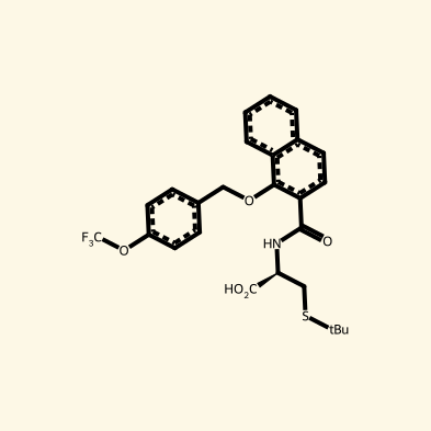 CC(C)(C)SC[C@H](NC(=O)c1ccc2ccccc2c1OCc1ccc(OC(F)(F)F)cc1)C(=O)O